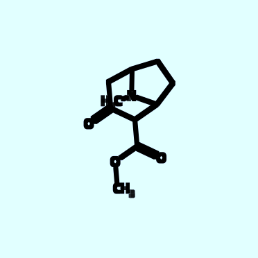 COC(=O)C1C(=O)CC2CCC1N2C